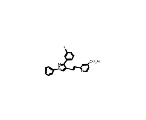 O=C(O)c1ccnc(/C=C/c2cn(-c3ccccc3)nc2-c2cccc(F)c2)c1